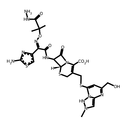 CN1C=C2N=C(CO)C=C(SCC3=C(C(=O)O)N4C(=O)C(NC(=O)/C(=N\OC(C)(C)C(=O)NN)c5csc(N)n5)[C@H]4SC3)N2N1